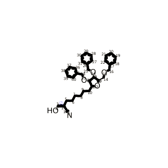 N#C/C(=C\O)CCCCCCC1O[C@H](COCc2ccccc2)[C@@H](OCc2ccccc2)[C@H]1OCc1ccccc1